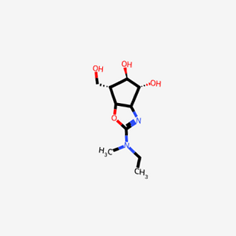 CCN(C)C1=NC2C(O1)[C@H](CO)[C@@H](O)[C@@H]2O